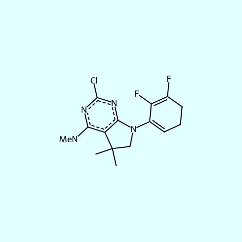 CNc1nc(Cl)nc2c1C(C)(C)CN2C1=CCCC(F)=C1F